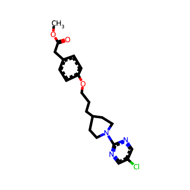 COC(=O)Cc1ccc(OCCCC2CCN(c3ncc(Cl)cn3)CC2)cc1